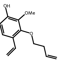 C=CCCOc1c(C=C)ccc(O)c1OC